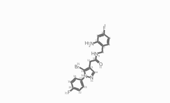 Nc1cc(F)ccc1CNC(=O)Cc1cnn(-c2ccc(F)cc2)c1Br